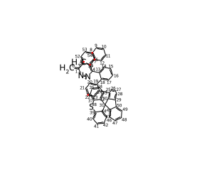 C=C(/N=N\C(=C(/C)c1ccccc1)c1ccccc1-c1ccccc1-c1cccc2c1C1(c3ccccc3Sc3ccccc31)c1ccccc1-2)c1ccccc1